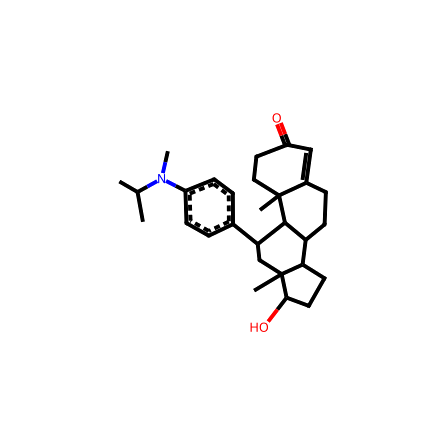 CC(C)N(C)c1ccc(C2CC3(C)C(O)CCC3C3CCC4=CC(=O)CCC4(C)C23)cc1